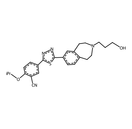 CC(C)Oc1ccc(-c2nnc(-c3ccc4c(c3)CCN(CCCO)CC4)s2)cc1C#N